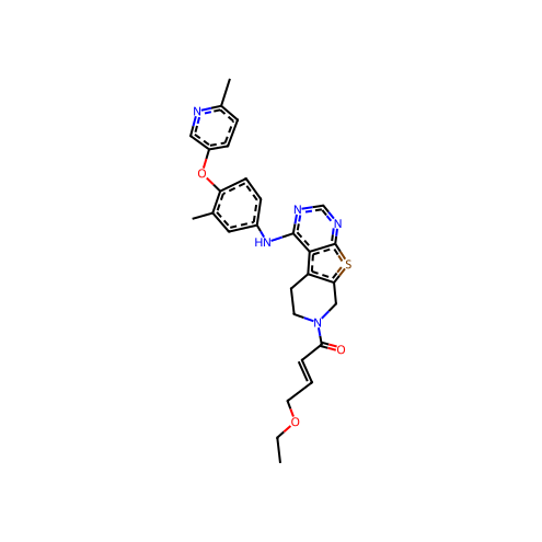 CCOC/C=C/C(=O)N1CCc2c(sc3ncnc(Nc4ccc(Oc5ccc(C)nc5)c(C)c4)c23)C1